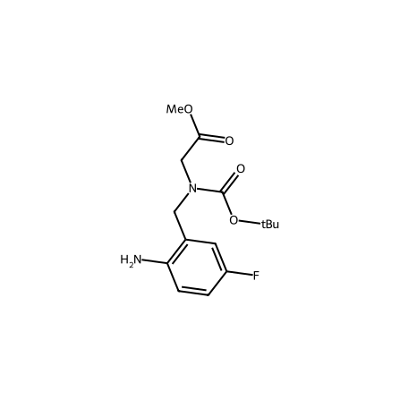 COC(=O)CN(Cc1cc(F)ccc1N)C(=O)OC(C)(C)C